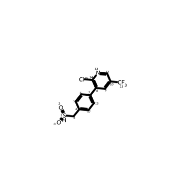 O=[SH](=O)Cc1ccc(-c2cc(C(F)(F)F)cnc2Cl)cc1